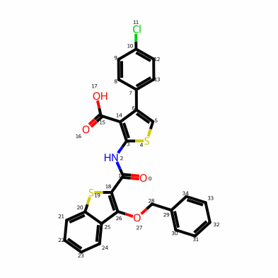 O=C(Nc1scc(-c2ccc(Cl)cc2)c1C(=O)O)c1sc2ccccc2c1OCc1ccccc1